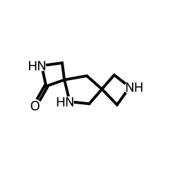 O=C1NCC12CC1(CNC1)CN2